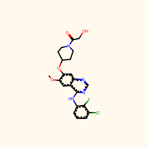 COc1cc2c(Nc3cccc(Cl)c3F)ncnc2cc1OC1CCN(C(=O)CO)CC1